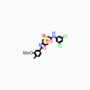 COc1cc(-c2nc(CS(=O)(=O)CC(=O)Nc3cc(Cl)cc(Cl)c3)c(C)o2)ccc1C